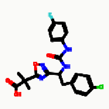 CC(C)(C(=O)O)c1nc(C(Cc2ccc(Cl)cc2)NC(=O)Nc2ccc(F)cc2)no1